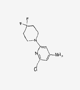 Nc1cc(Cl)nc(N2CCC(F)(F)CC2)c1